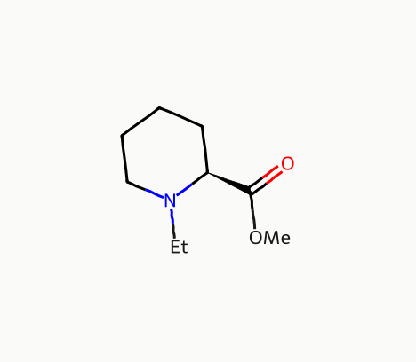 CCN1CCCC[C@H]1C(=O)OC